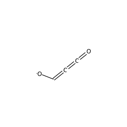 [O]C=C=C=O